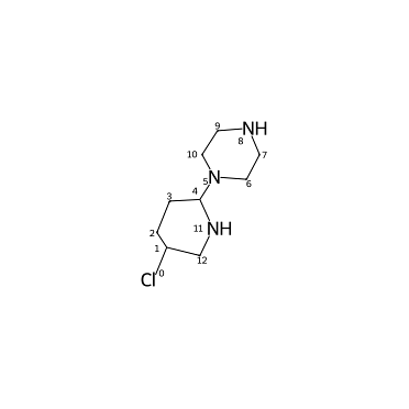 ClC1CCC(N2CCNCC2)NC1